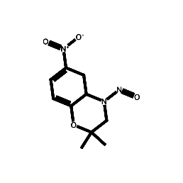 CC1(C)CN(N=O)C2CC([N+](=O)[O-])=CC=C2O1